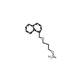 C[SiH2]OCCCOCc1cccc2ccccc12